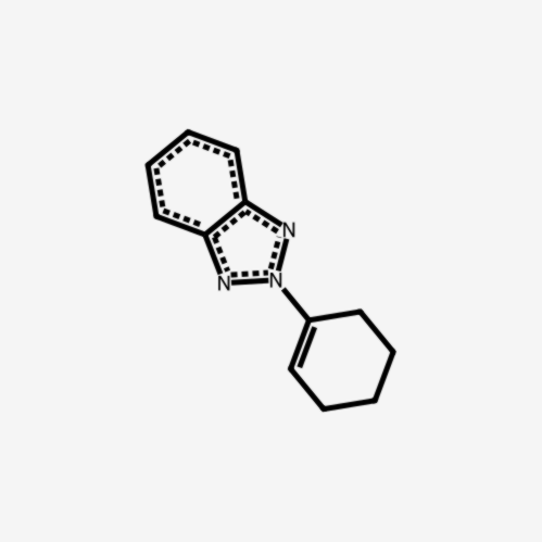 C1=C(n2nc3ccccc3n2)CCCC1